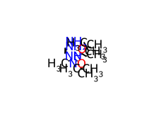 CC/C(=N\C(=N/C(C)N/C=C\NN)OC(C)(C)C)OC(C)(C)C